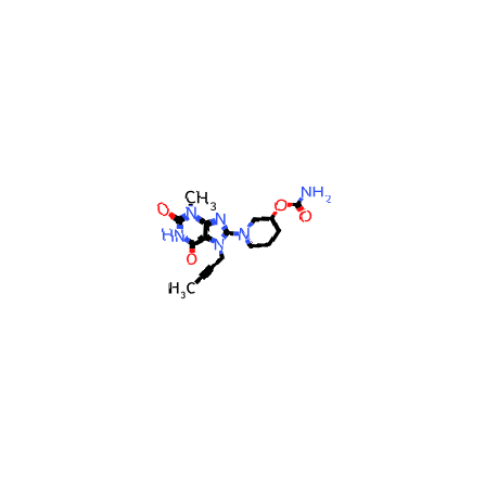 CC#CCn1c(N2CCCC(OC(N)=O)C2)nc2c1c(=O)[nH]c(=O)n2C